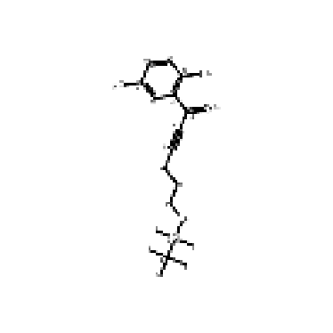 CC(C)(C)[Si](C)(C)OCCCC#CC(=O)c1cc(F)ccc1F